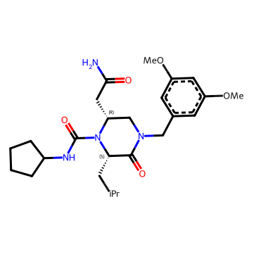 COc1cc(CN2C[C@@H](CC(N)=O)N(C(=O)NC3CCCC3)[C@@H](CC(C)C)C2=O)cc(OC)c1